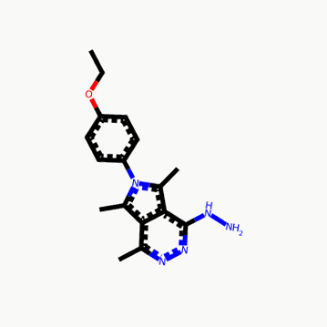 CCOc1ccc(-n2c(C)c3c(C)nnc(NN)c3c2C)cc1